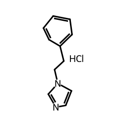 Cl.c1ccc(CCn2ccnc2)cc1